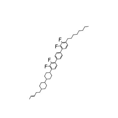 C/C=C/CCC1CCC(C2CCC(c3ccc(-c4ccc(-c5ccc(CCCCCCCC)c(F)c5F)cc4)c(F)c3F)CC2)CC1